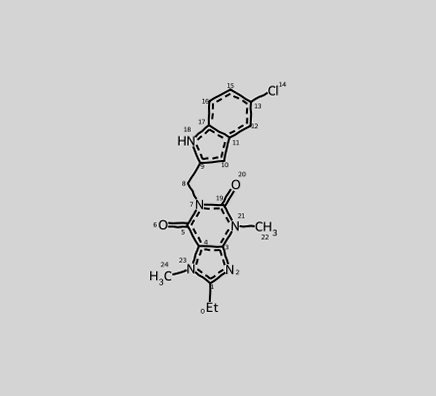 CCc1nc2c(c(=O)n(Cc3cc4cc(Cl)ccc4[nH]3)c(=O)n2C)n1C